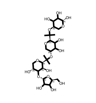 CC(C)(O[C@@H]1CO[C@@H](O)C(O)C1O)[C@@H]1OC[C@@H](OC(C)(C)[C@@H]2OC[C@@H](O)C(O[C@@H]3O[C@@H](CO)C(O)C3O)[C@@H]2O)C(O)C1O